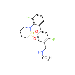 O=C(O)NCc1ccc(-c2cccc(F)c2N2CCCCS2(=O)=O)cc1F